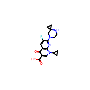 O=C(O)c1cn(C2CC2)c2nc(N3CCNC4(CC4)C3)c(F)cc2c1=O